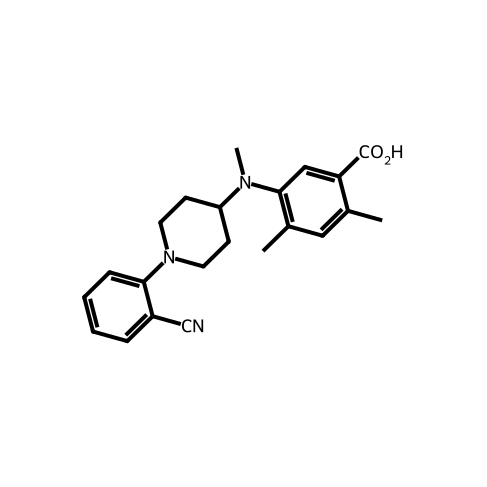 Cc1cc(C)c(N(C)C2CCN(c3ccccc3C#N)CC2)cc1C(=O)O